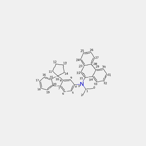 CC(C)N(c1ccc2c(c1)C1(CCCC1)c1ccccc1-2)c1cc2ccccc2c2ccccc12